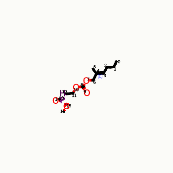 CCC/C=C(\C)COC(=O)OCC[PH](=O)OC